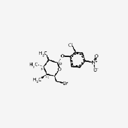 CC1[C@H](Oc2ccc([N+](=O)[O-])cc2Cl)OC(CBr)[C@@H](C)[C@@H]1C